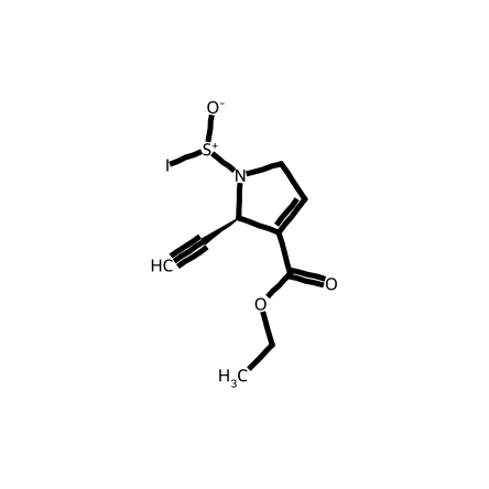 C#C[C@@H]1C(C(=O)OCC)=CCN1[S+]([O-])I